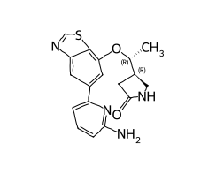 C[C@@H](Oc1cc(-c2cccc(N)n2)cc2ncsc12)[C@H]1CNC(=O)C1